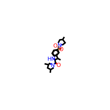 CC1CCN(S(=O)(=O)c2ccc3c(c2)C(C)C(C(=O)N2CC(C)CC(C)C2)N3)CC1